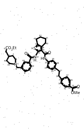 CCOC(=O)CC1CCN(Cc2cccc(C(=O)Nc3sc4c(c3C(=O)Nc3ccc(CCc5ccc(C(=O)OC)cc5)cc3)CCCC4)c2)CC1